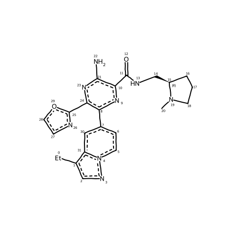 CCc1cnn2ccc(-c3nc(C(=O)NC[C@H]4CCCN4C)c(N)nc3-c3ncco3)cc12